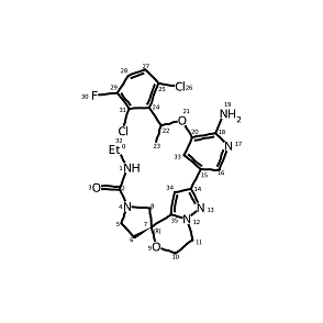 CCNC(=O)N1CC[C@]2(C1)OCCn1nc(-c3cnc(N)c(OC(C)c4c(Cl)ccc(F)c4Cl)c3)cc12